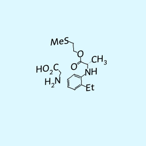 CCc1ccccc1N[C@@H](C)C(=O)OCCSC.NCC(=O)O